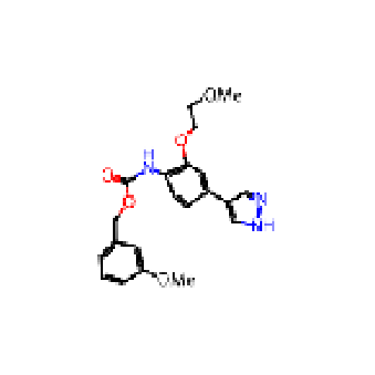 COCCOc1cc(-c2cn[nH]c2)ccc1NC(=O)OCc1cccc(OC)c1